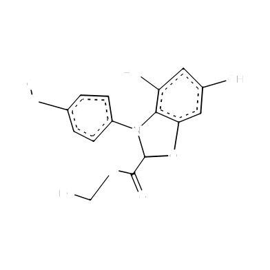 CCOC(=O)C1Oc2cc(O)cc(O)c2N1c1ccc(OC)cc1